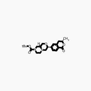 C[C@H]1Cc2cc([C@H]3CN4CCN(C(=O)OC(C)(C)C)C[C@@H]4CO3)ccc2C(=O)O1